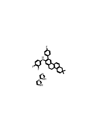 CC1(C)C=Cc2c(ccc3c2CCc2cc(Nc4ccc(F)c(F)c4)c(-c4ccc(F)cc4)cc2-3)C1.c1c[nH]cn1.c1c[nH]cn1